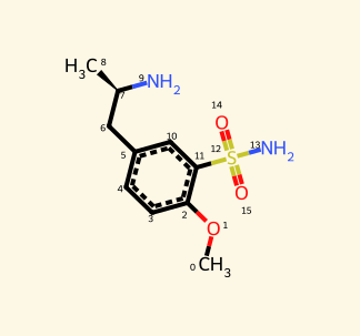 COc1ccc(C[C@@H](C)N)cc1S(N)(=O)=O